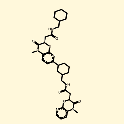 CN1C(=O)[C@H](CC(=O)NCC2CCCC(c3ccc4c(n3)S[C@H](CC(=O)NCC3CCCCC3)C(=O)N4C)C2)Sc2ncccc21